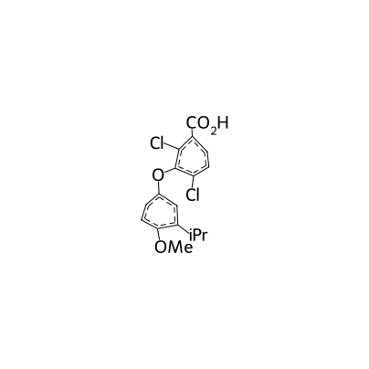 COc1ccc(Oc2c(Cl)ccc(C(=O)O)c2Cl)cc1C(C)C